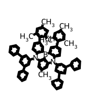 Cc1cc(C)c(-c2ccc3c(c2)B2c4cc(-c5c(C)cc(C)cc5C)ccc4N(c4cc(-c5ccccc5)cc(-c5ccccc5)c4)c4cc(C)cc(c42)N3c2cc(-c3ccccc3)cc(-c3ccccc3)c2)c(C)c1